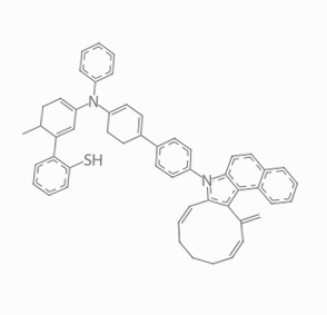 C=C1/C=C\CCC/C=C\c2c1c1c3ccccc3ccc1n2-c1ccc(C2=CC=C(N(C3=CCC(C)C(c4ccccc4S)=C3)c3ccccc3)CC2)cc1